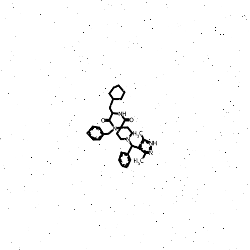 Cc1n[nH]c(C)c1C(c1ccccc1)N1CCC2(CC1)C(=O)NC(CC1CCCCC1)C(=O)N2Cc1ccccc1